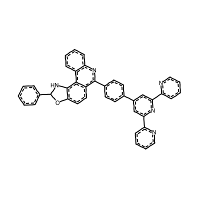 c1ccc(C2Nc3c(ccc4c(-c5ccc(-c6cc(-c7ccccn7)nc(-c7ccccn7)c6)cc5)nc5ccccc5c34)O2)cc1